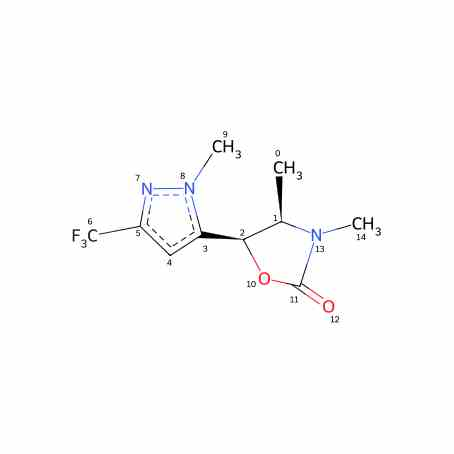 C[C@@H]1[C@H](c2cc(C(F)(F)F)nn2C)OC(=O)N1C